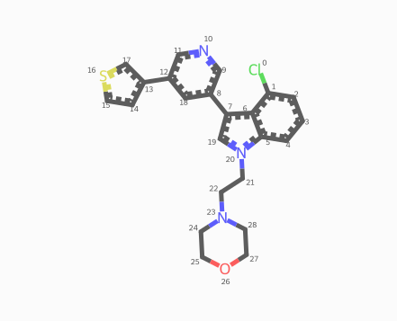 Clc1cccc2c1c(-c1cncc(-c3ccsc3)c1)cn2CCN1CCOCC1